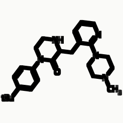 CN1CCN(c2ncccc2CC2NCCN(c3ccc(C(C)(C)C)cc3)C2=O)CC1